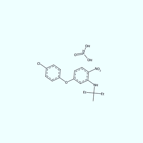 CCC(C)(CC)Nc1cc(Oc2ccc(Cl)cc2)ccc1[N+](=O)[O-].O=[PH](O)O